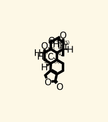 CC(C)[C@]12O[C@H]1[C@@H]1C[C@]13[C@]1(O[C@H]1C[C@H]1C4=C(CC[C@@]13C)C(=O)OC4)[C@@]21CO1